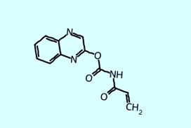 C=CC(=O)NC(=O)Oc1cnc2ccccc2n1